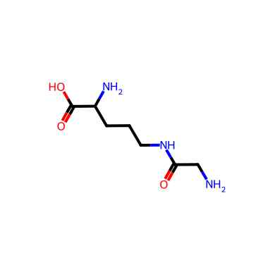 NCC(=O)NCCCC(N)C(=O)O